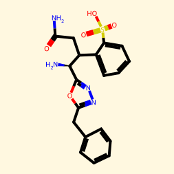 NC(=O)CC(c1ccccc1S(=O)(=O)O)[C@H](N)c1nnc(Cc2ccccc2)o1